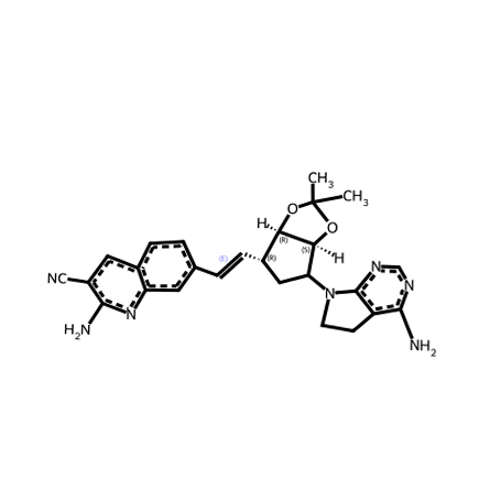 CC1(C)O[C@@H]2[C@@H](/C=C/c3ccc4cc(C#N)c(N)nc4c3)CC(N3CCc4c(N)ncnc43)[C@@H]2O1